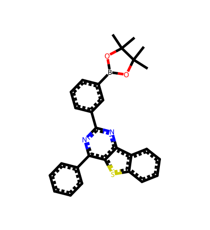 CC1(C)OB(c2cccc(-c3nc(-c4ccccc4)c4sc5ccccc5c4n3)c2)OC1(C)C